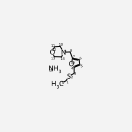 CCSCc1ccc(CN2CCOCC2)o1.N